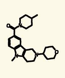 CC1CCN(C(=O)c2ccc3c(c2)c2c(n3C)CCN(C3CCOCC3)C2)CC1